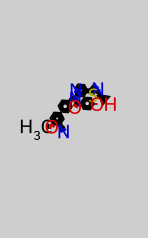 COc1ccc([C@H]2CC[C@H](CN(c3cc(-c4cnc(C5CC5)s4)ccn3)C(=O)[C@H]3CC[C@H](O)CC3)CC2)cc1C#N